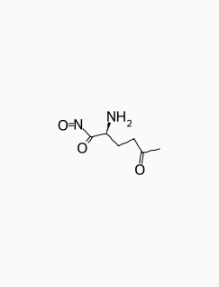 CC(=O)CC[C@H](N)C(=O)N=O